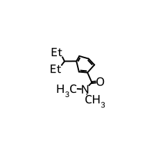 CCC(CC)c1cccc(C(=O)N(C)C)c1